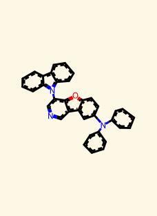 c1ccc(N(c2ccccc2)c2ccc3oc4c(-n5c6ccccc6c6ccccc65)cncc4c3c2)cc1